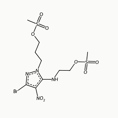 CS(=O)(=O)OCCCn1nc(Br)c([N+](=O)[O-])c1NCCOS(C)(=O)=O